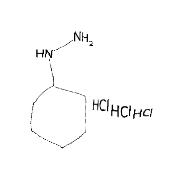 Cl.Cl.Cl.NNC1CCCCC1